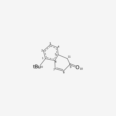 CC(C)(C)c1cccc2c1C=CC(=O)C2